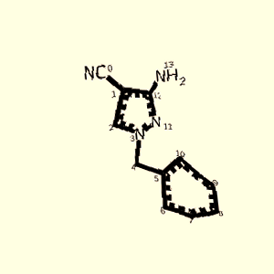 N#Cc1cn(Cc2ccccc2)nc1N